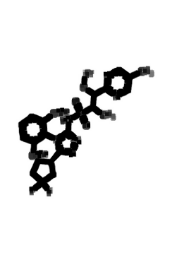 COc1cccc(OC)c1-n1c(NS(=O)(=O)C(C)C(OC(C)C)c2ncc(C)cn2)nnc1[C@@H]1CCC(F)(F)C1